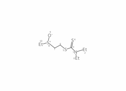 CCN(CC)C(=S)SCC[S+]([O-])CC